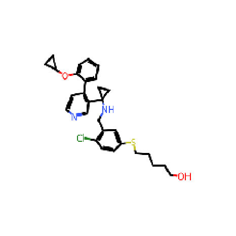 OCCCCCSc1ccc(Cl)c(CNC2(c3cnccc3-c3ccccc3OC3CC3)CC2)c1